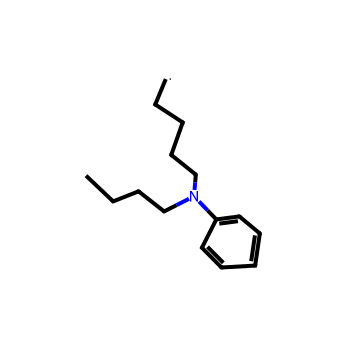 [CH2]CCCCN(CCCC)c1ccccc1